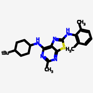 Cc1nc(NC2CCC(C(C)(C)C)CC2)c2nc(Nc3c(C)cccc3C)sc2n1